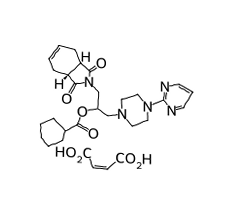 O=C(O)/C=C\C(=O)O.O=C(OC(CN1CCN(c2ncccn2)CC1)CN1C(=O)[C@H]2CC=CC[C@H]2C1=O)C1CCCCC1